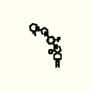 C[C@H]1CCCCN1C1CCN(c2ccc(N3CCC4(CCNCC4)C3=O)c(F)c2)C1